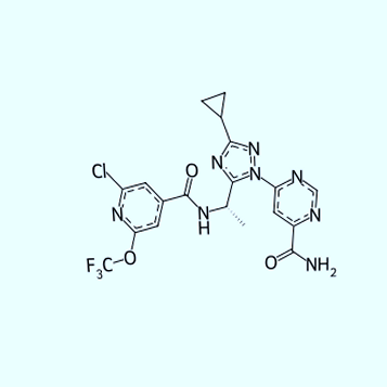 C[C@H](NC(=O)c1cc(Cl)nc(OC(F)(F)F)c1)c1nc(C2CC2)nn1-c1cc(C(N)=O)ncn1